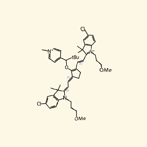 COCCCN1/C(=C/C=C2\CCC(/C=C/C3=[N+](CCCOC)c4ccc(Cl)cc4C3(C)C)=C2OC(c2cc[n+](C)cc2)C(C)(C)C)C(C)(C)c2cc(Cl)ccc21